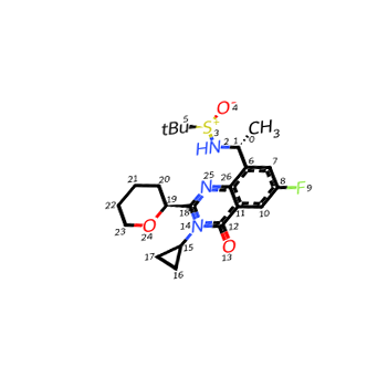 C[C@@H](N[S@+]([O-])C(C)(C)C)c1cc(F)cc2c(=O)n(C3CC3)c([C@@H]3CCCCO3)nc12